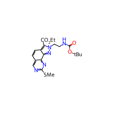 CCOC(=O)c1c2ccc3cnc(SC)nc3c2nn1CCNC(=O)OC(C)(C)C